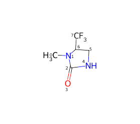 CN1C(=O)NCC1C(F)(F)F